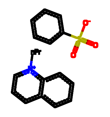 CCC[n+]1cccc2ccccc21.O=S(=O)([O-])c1ccccc1